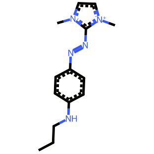 CCCNc1ccc(/N=N/c2n(C)cc[n+]2C)cc1